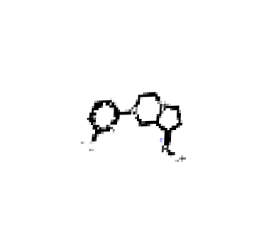 O/N=C1\CCN2CCN(c3cccc(C(F)(F)F)n3)CC12